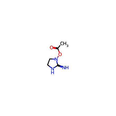 CC(=O)ON1CCNC1=N